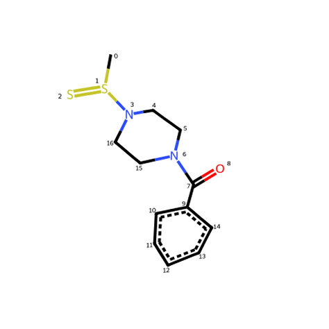 CS(=S)N1CCN(C(=O)c2ccccc2)CC1